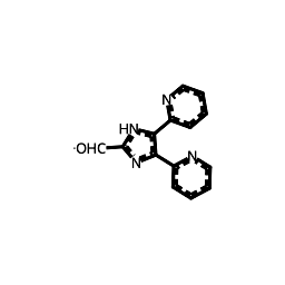 O=[C]c1nc(-c2ccccn2)c(-c2ccccn2)[nH]1